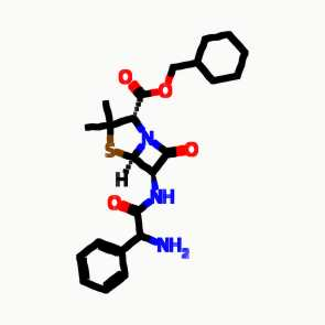 CC1(C)S[C@@H]2[C@H](NC(=O)C(N)c3ccccc3)C(=O)N2[C@H]1C(=O)OCC1CCCCC1